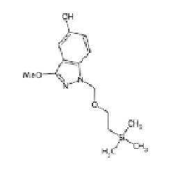 COc1nn(COCC[Si](C)(C)C)c2ccc(O)cc12